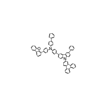 c1ccc(-c2ccc(N(c3ccc(-c4ccc5c(c4)c4cc(-c6ccccc6)ccc4n5-c4ccc5c6ccccc6c6ccccc6c5c4)cc3)c3ccc(-c4cccc5c4oc4ccccc45)cc3)cc2)cc1